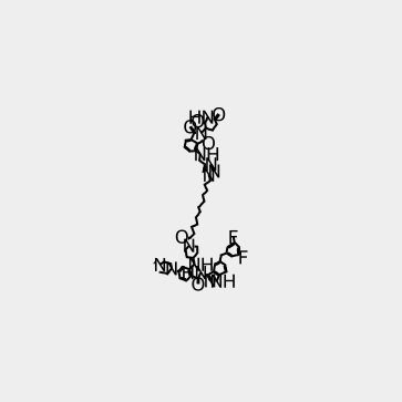 CN1CCN(c2ccc(C(=O)Nc3n[nH]c4ccc(Cc5cc(F)cc(F)c5)cc34)c(NC3CCN(C(=O)CCCCCCCCCCCn4cc(CNc5cccc6c5C(=O)N(C5CCC(=O)NC5=O)C6=O)nn4)CC3)c2)CC1